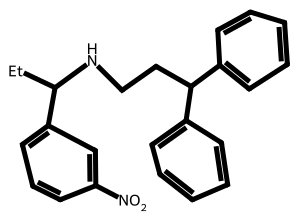 CCC(NCCC(c1ccccc1)c1ccccc1)c1cccc([N+](=O)[O-])c1